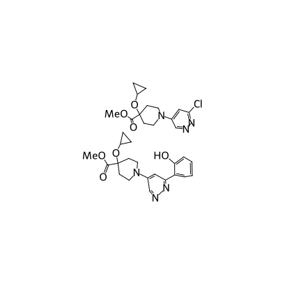 COC(=O)C1(OC2CC2)CCN(c2cnnc(-c3ccccc3O)c2)CC1.COC(=O)C1(OC2CC2)CCN(c2cnnc(Cl)c2)CC1